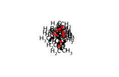 C=C(C)C(=O)OC(CC)CCC(OC(=O)C(=C)C)(C(CC)OC(=O)C(=C)C)[Si](O[Si](C)(C)C)(O[Si](C)(C)C)O[Si](O[SiH2]O[Si](C)(C)C)(O[Si](C)(C)C)O[Si](C)(C)C